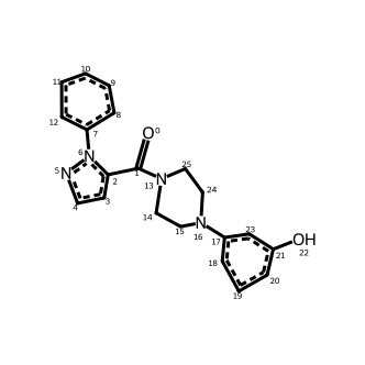 O=C(c1ccnn1-c1ccccc1)N1CCN(c2cccc(O)c2)CC1